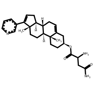 C[C@]12CC[C@H](OC(=O)C(N)CC(N)=O)CC1=CC[C@@H]1[C@@H]2CC[C@]2(C)C(c3cccnc3)=CC[C@@H]12